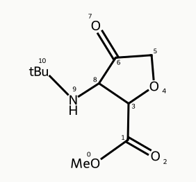 COC(=O)C1OCC(=O)C1NC(C)(C)C